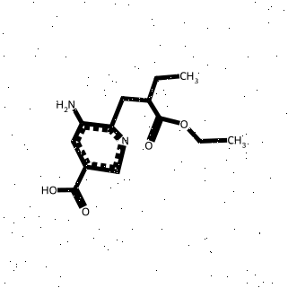 CCOC(=O)C(CC)Cc1ncc(C(=O)O)cc1N